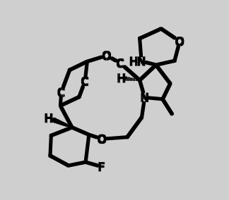 CC1CC2(COCCN2)[C@@H]2COC3CCC(CC3)[C@H]3CCCC(F)C3OCCN12